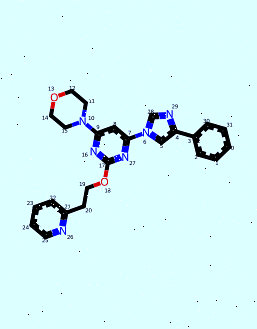 c1ccc(-c2cn(-c3cc(N4CCOCC4)nc(OCCc4ccccn4)n3)cn2)cc1